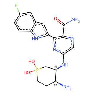 NC(=O)c1ncc(N[C@@H]2CS(O)(O)CC[C@@H]2N)nc1-c1cc2cc(F)ccc2[nH]1